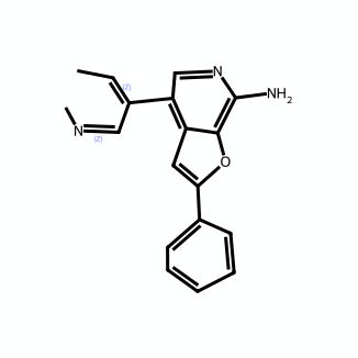 C/C=C(\C=N/C)c1cnc(N)c2oc(-c3ccccc3)cc12